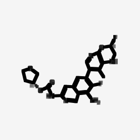 Cc1c(-c2cc3cc(NC(=O)O[C@@H]4CCOC4)ncc3c(N)c2F)cnc2c1NC[C@H](F)O2